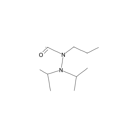 CCCN([C]=O)N(C(C)C)C(C)C